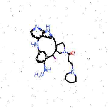 NNc1ccc2cc1C(I)C1=C(CCN(C(=O)CCN3CCCCC3)C1)c1cc3c(ccnc3[nH]1)N2